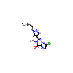 CC(=O)NCCn1cc(-c2nn3c(Br)cnc3c(=O)n2C(C)C)cn1